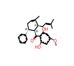 COc1cc(O)c(C(=O)[C@@H]2[C@H](CC=C(C)C)C(C)=CC[C@H]2c2ccccc2)c(O)c1